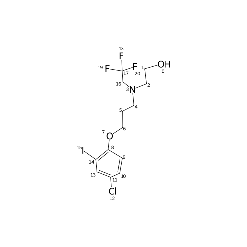 OCCN(CCCOc1ccc(Cl)cc1I)CC(F)(F)F